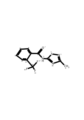 Cc1nsc(NC(=O)c2ccccc2C(F)(F)F)n1